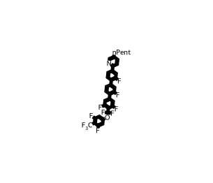 CCCCCc1ccc(-c2ccc(-c3ccc(-c4cc(F)c(C(F)(F)Oc5cc(F)c(C(F)(F)F)c(F)c5)c(F)c4)c(F)c3)c(F)c2)nc1